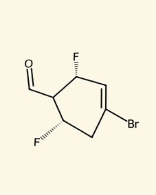 O=CC1[C@H](F)C=C(Br)C[C@@H]1F